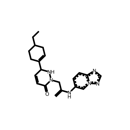 C=C(CN1NC(C2=CCC(CC)CC2)C=CC1=O)Nc1ccc2ncnn2c1